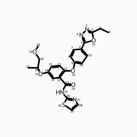 CCc1nnc(-c2ccc(Oc3ccc(OC(C)COC)cc3C(=O)Nc3nccs3)cc2)o1